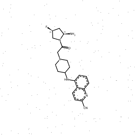 N#Cc1ccc2c(NC3CCN(CC(=O)N4C[C@@H](F)C[C@H]4N)CC3)cccc2n1